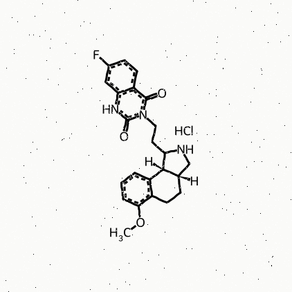 COc1cccc2c1CC[C@H]1CNC(CCn3c(=O)[nH]c4cc(F)ccc4c3=O)[C@@H]21.Cl